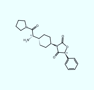 N[C@H](C(=O)N1CCCC1)[C@H]1CC[C@H](N2C(=O)O[C@@H](c3ccccc3)C2=O)CC1